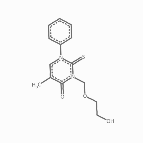 Cc1cn(-c2ccccc2)c(=S)n(COCCO)c1=O